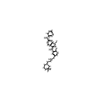 Cc1ncc(CNCCN2CCCC(F)(F)C2)cc1Nc1nn(C)c2nc(Nc3cncnc3)ncc12